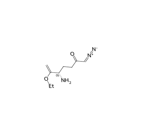 C=C(OCC)[C@@H](N)CCC(=O)C=[N+]=[N-]